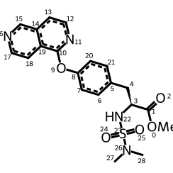 COC(=O)[C@H](Cc1ccc(Oc2nccc3cnccc23)cc1)NS(=O)(=O)N(C)C